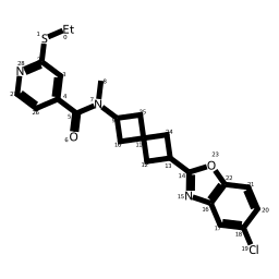 CCSc1cc(C(=O)N(C)C2CC3(CC(c4nc5cc(Cl)ccc5o4)C3)C2)ccn1